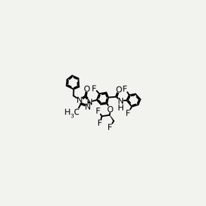 Cc1nn(-c2cc(O[C@@H](CF)C(F)F)c(C(=O)Nc3c(F)cccc3F)cc2F)c(=O)n1Cc1ccccc1